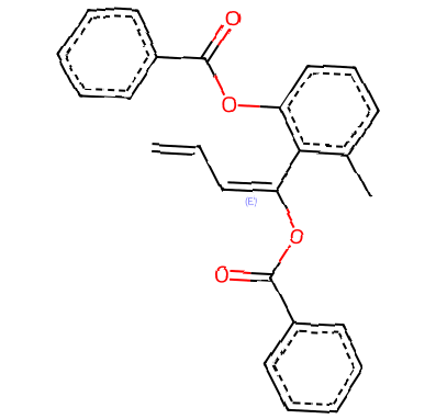 C=C/C=C(/OC(=O)c1ccccc1)c1c(C)cccc1OC(=O)c1ccccc1